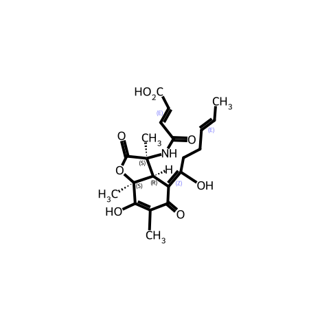 C/C=C/CC/C(O)=C1/C(=O)C(C)=C(O)[C@@]2(C)OC(=O)[C@@](C)(NC(=O)/C=C/C(=O)O)[C@@H]12